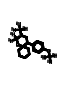 [2H]C([2H])([2H])Oc1ccc(C2CN(C([2H])([2H])[2H])C([2H])([2H])OC23CCCCC3)cc1